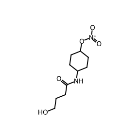 O=C(CCCO)NC1CCC(O[N+](=O)[O-])CC1